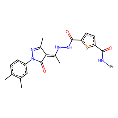 CC1=NN(c2ccc(C)c(C)c2)C(=O)C1=C(C)NNC(=O)c1ccc(C(=O)NC(C)C)s1